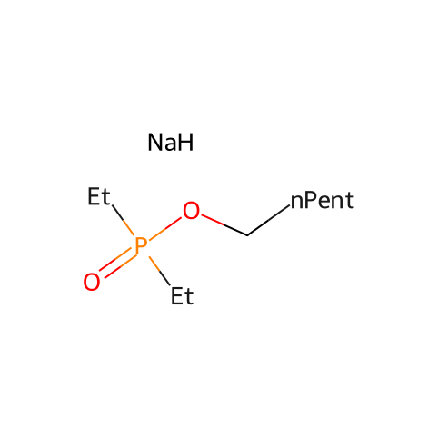 CCCCCCOP(=O)(CC)CC.[NaH]